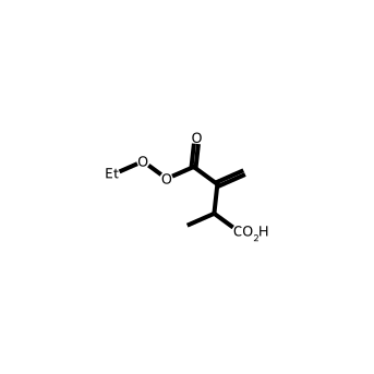 C=C(C(=O)OOCC)C(C)C(=O)O